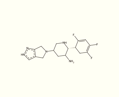 NC1CC(N2Cc3c[nH]nc3C2)CN[C@@H]1C1CC(F)=C(F)C=C1F